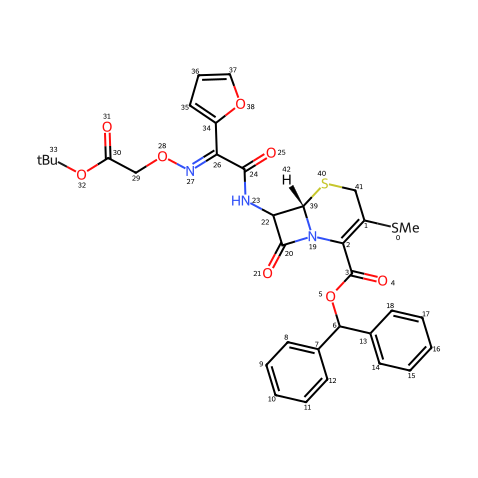 CSC1=C(C(=O)OC(c2ccccc2)c2ccccc2)N2C(=O)C(NC(=O)C(=NOCC(=O)OC(C)(C)C)c3ccco3)[C@@H]2SC1